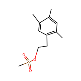 Cc1cc(C)c(CCOS(C)(=O)=O)cc1C